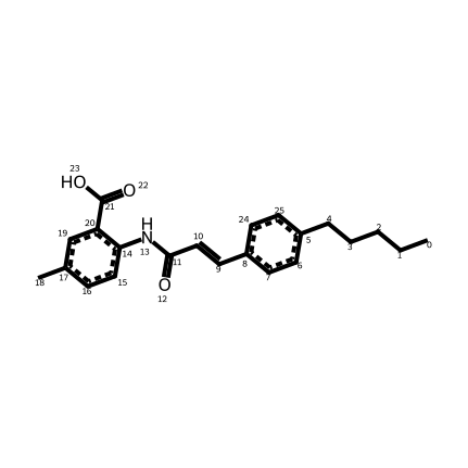 CCCCCc1ccc(C=CC(=O)Nc2ccc(C)cc2C(=O)O)cc1